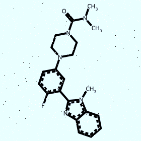 CN(C)C(=O)N1CCN(c2ccc(F)c(-c3nc4ccccc4n3C)c2)CC1